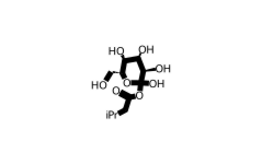 CC(C)CC(=O)OC1(O)O[C@H](CO)[C@@H](O)[C@H](O)[C@H]1O